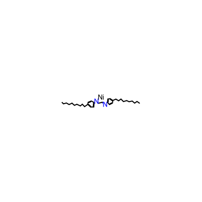 CCCCCCCCCCc1ccc(N=CC=Nc2ccc(CCCCCCCCCC)cc2)cc1.[Ni]